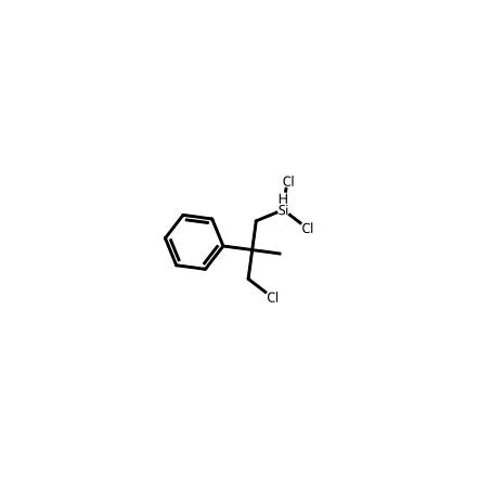 CC(CCl)(C[SiH](Cl)Cl)c1ccccc1